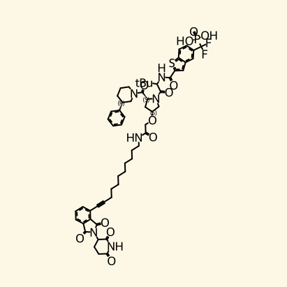 CC(C)(C)C(NC(=O)c1cc2cc(C(F)(F)P(=O)(O)O)ccc2s1)C(=O)N1C[C@@H](OCC(=O)NCCCCCCCCCC#Cc2cccc3c2C(=O)N(C2CCC(=O)NC2=O)C3=O)C[C@H]1C(=O)N1CCC[C@H](c2ccccc2)C1